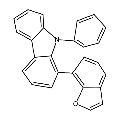 c1ccc(-n2c3ccccc3c3cccc(-c4cccc5ccoc45)c32)cc1